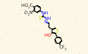 O=C(O)c1ccc(NC(=S)NN=CCc2csc(-c3ccc(C(F)(F)F)cc3)c2O)cc1[N+](=O)[O-]